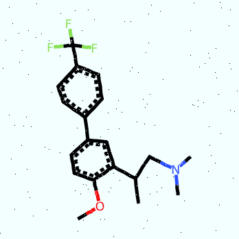 COc1ccc(-c2ccc(C(F)(F)F)cc2)cc1C(C)CN(C)C